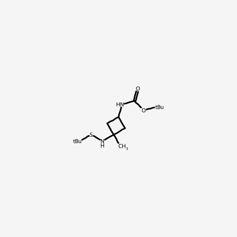 CC1(NSC(C)(C)C)CC(NC(=O)OC(C)(C)C)C1